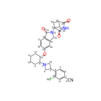 N#Cc1ccc(C2CN(C3CCCC[C@@H]3Oc3ccc4c(c3)CN(C35CC(C3)C(=O)NC5=O)C4=O)C2)c(F)c1